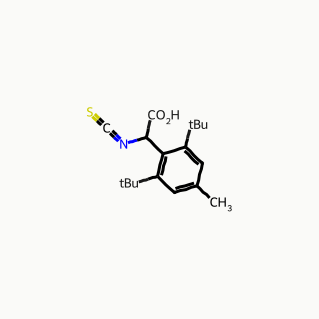 Cc1cc(C(C)(C)C)c(C(N=C=S)C(=O)O)c(C(C)(C)C)c1